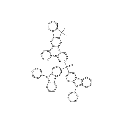 CC1(C)c2ccccc2-c2cc3c4ccccc4c4cc(P(=O)(c5ccc6c(c5)c5ccccc5n6-c5ccccc5)c5ccc6c(c5)c5ccccc5n6-c5ccccc5)ccc4c3cc21